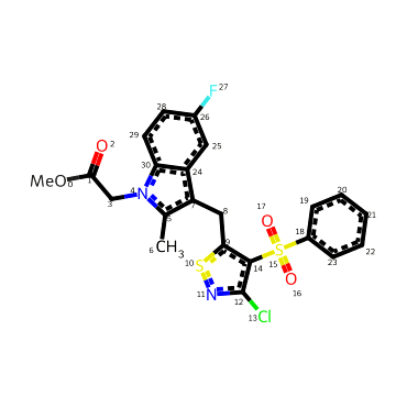 COC(=O)Cn1c(C)c(Cc2snc(Cl)c2S(=O)(=O)c2ccccc2)c2cc(F)ccc21